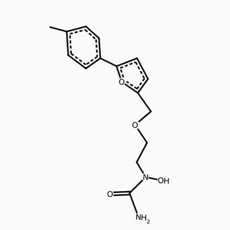 Cc1ccc(-c2ccc(COCCN(O)C(N)=O)o2)cc1